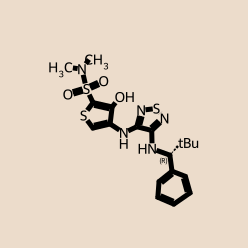 CN(C)S(=O)(=O)c1scc(Nc2nsnc2N[C@@H](c2ccccc2)C(C)(C)C)c1O